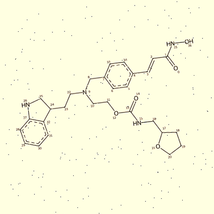 O=C(/C=C/c1ccc(CN(CCOC(=O)NCC2CCCO2)CCC2CNc3ccccc32)cc1)NO